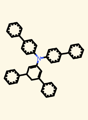 C1=C(c2ccccc2)CC(c2ccccc2)C=C1N(c1ccc(-c2ccccc2)cc1)c1ccc(-c2ccccc2)cc1